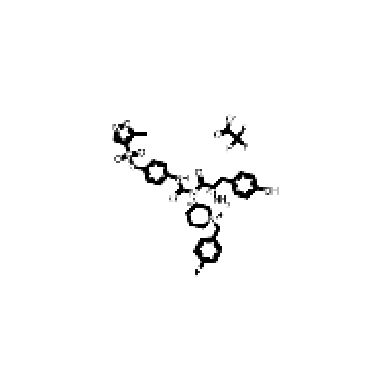 Cc1oncc1S(=O)(=O)Oc1ccc(NC(=O)N(C(=O)[C@@H](N)Cc2ccc(O)cc2)[C@H]2CCC[N+](C)(Cc3ccc(F)cc3)C2)cc1.O=C([O-])C(F)(F)F